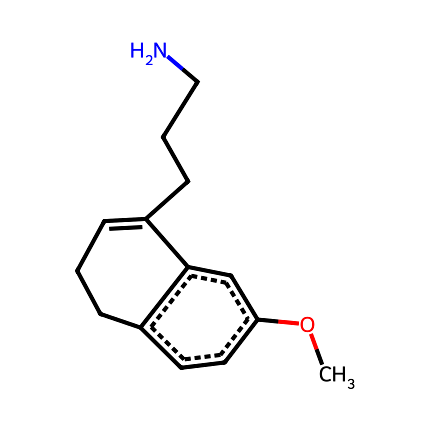 COc1ccc2c(c1)C(CCCN)=CCC2